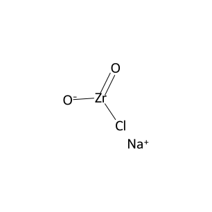 [Na+].[O]=[Zr]([O-])[Cl]